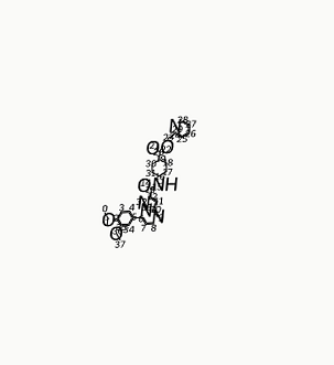 COc1ccc(-c2ccnc3cc(C(=O)NC4CCC(C(=O)OCc5ccccn5)CC4)nn23)cc1OC